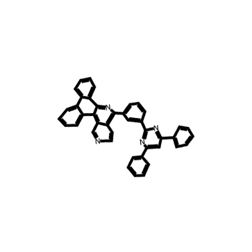 c1ccc(-c2cc(-c3ccccc3)nc(-c3cccc(-c4nc5c6ccccc6c6ccccc6c5c5cnccc45)c3)n2)cc1